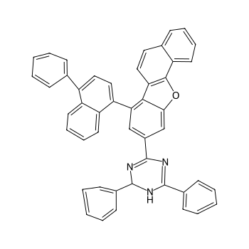 c1ccc(C2=NC(c3cc(-c4ccc(-c5ccccc5)c5ccccc45)c4c(c3)oc3c5ccccc5ccc34)=NC(c3ccccc3)N2)cc1